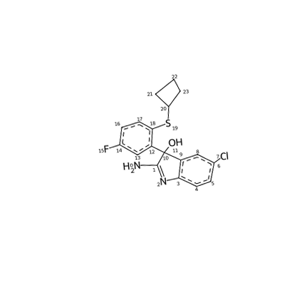 NC1=Nc2ccc(Cl)cc2C1(O)c1cc(F)ccc1SC1CCC1